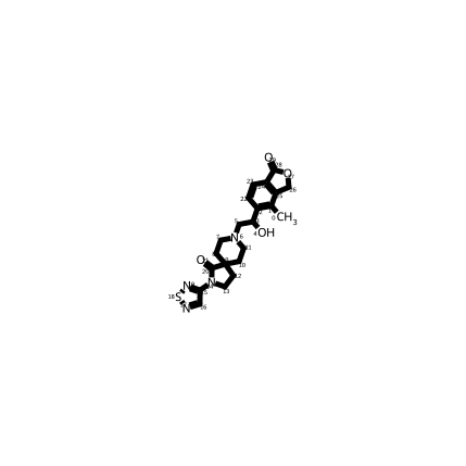 Cc1c(C(O)CN2CCC3(CC2)CCN(c2cnsn2)C3=O)ccc2c1COC2=O